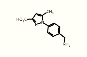 Cc1cc(C(=O)O)nn1-c1ccc(CN)cc1